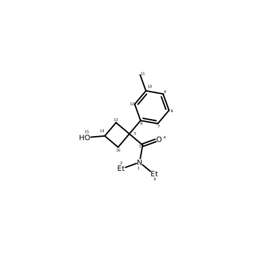 CCN(CC)C(=O)C1(c2cccc(C)c2)CC(O)C1